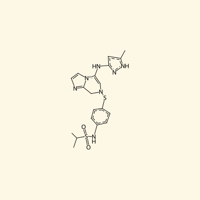 Cc1cc(NC2=CN(Sc3ccc(NS(=O)(=O)C(C)C)cc3)CC3=NC=C[N+]23)n[nH]1